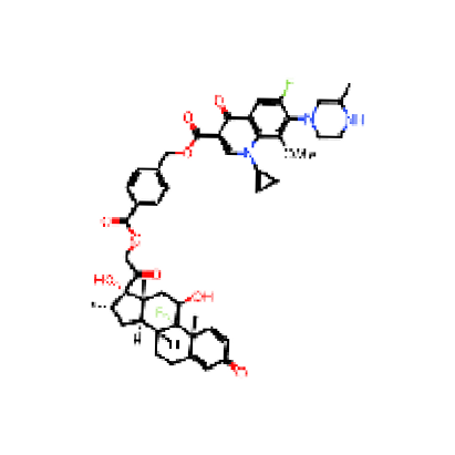 COc1c(N2CCNC(C)C2)c(F)cc2c(=O)c(C(=O)OCc3ccc(C(=O)OCC(=O)[C@]4(O)[C@@H](C)C[C@@H]5[C@H]6CCC7=CC(=O)C=C[C@@]7(C)[C@]6(F)[C@H](O)C[C@]54C)cc3)cn(C3CC3)c12